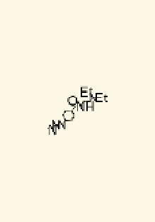 CCN(CC)CCNC(=O)c1ccc(N=NN(C)C)cc1